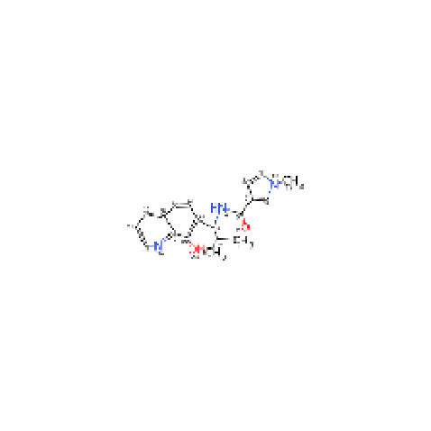 CC(C)C(NC(=O)c1ccn(C)c1)c1ccc2cccnc2c1O